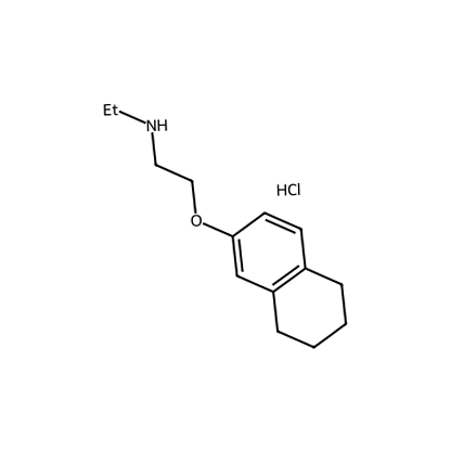 CCNCCOc1ccc2c(c1)CCCC2.Cl